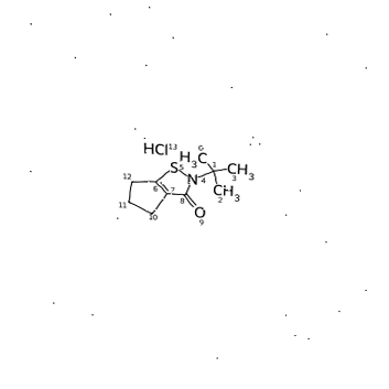 CC(C)(C)n1sc2c(c1=O)CCC2.Cl